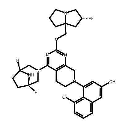 Oc1cc(N2CCc3c(nc(OC[C@@]45CCCN4C[C@H](F)C5)nc3N3C[C@H]4CC[C@@H](C3)N4)C2)c2c(Cl)cccc2c1